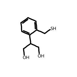 OCC(CO)c1ccccc1CS